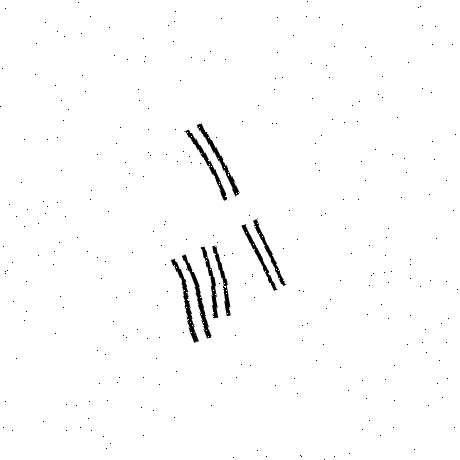 C=C.C=C.C=C.C=C